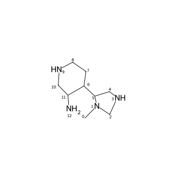 CN1CNCC1C1CCNCC1N